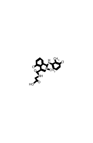 Cc1c(Cl)cccc1NC1c2cccc(Cl)c2C(C(=O)NCC(=O)O)=CN1C